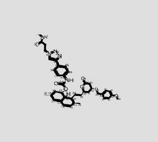 CNC(=O)CCn1cc(-c2ccc(NC(=O)O[C@H]3C[C@@H](C)C=C4C=C[C@H](C)[C@H](CC[C@@H]5C[C@@H](OCc6ccc(OC)cc6)CC(=O)O5)[C@H]43)cc2)nn1